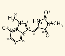 CN1C(=O)NC(=Cc2cn(C)c3c(Cl)cccc23)C1=O